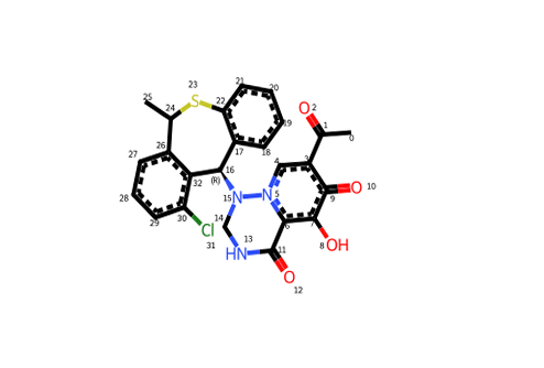 CC(=O)c1cn2c(c(O)c1=O)C(=O)NCN2[C@@H]1c2ccccc2SC(C)c2cccc(Cl)c21